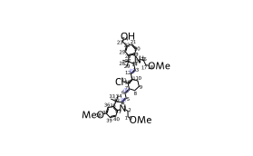 COCCN1/C(=C/C=C2\CCCC(/C=C/C3=[N+](CCOC)c4ccc(CO)cc4C3(C)C)=C2Cl)C(C)(C)c2cc(OC)ccc21